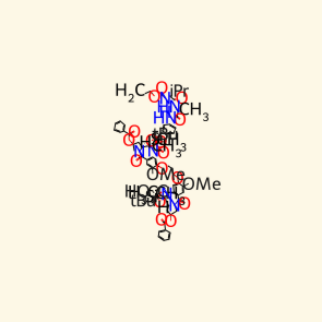 C=CCOC(=O)N[C@H](C(=O)N[C@@H](C)C(=O)Nc1ccc(COC(=O)N2c3cc(OCCCOc4cc5c(cc4OC)C(=O)N4C[C@@H](OC(=O)c6ccccc6)C[C@H]4[C@H](O[Si](C)(C)C(C)(C)C)N5C(=O)O)c(OC)cc3C(=O)N3C[C@@H](OC(=O)c4ccccc4)C[C@H]3[C@@H]2O[Si](C)(C)C(C)(C)C)cc1)C(C)C